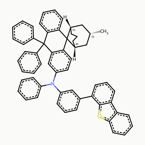 C[C@@H]1C[C@H]2CCC[C@@H](C1)C21c2ccccc2C(c2ccccc2)(c2ccccc2)c2cc(N(c3ccccc3)c3cccc(-c4cccc5c4sc4ccccc45)c3)ccc21